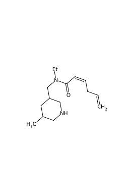 C=CC/C=C\C(=O)N(CC)CC1CNCC(C)C1